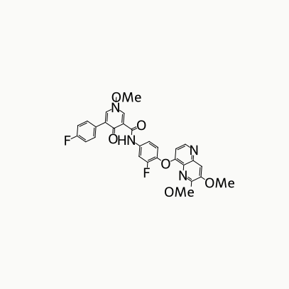 COc1cc2nccc(Oc3ccc(NC(=O)c4cn(OC)cc(-c5ccc(F)cc5)c4=O)cc3F)c2nc1OC